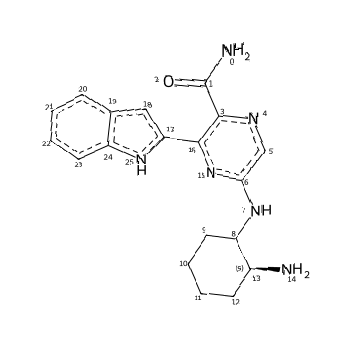 NC(=O)c1ncc(NC2CCCC[C@@H]2N)nc1-c1cc2ccccc2[nH]1